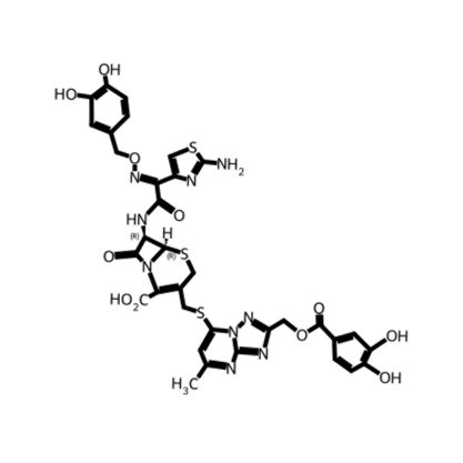 Cc1cc(SCC2=C(C(=O)O)N3C(=O)[C@@H](NC(=O)C(=NOCc4ccc(O)c(O)c4)c4csc(N)n4)[C@H]3SC2)n2nc(COC(=O)c3ccc(O)c(O)c3)nc2n1